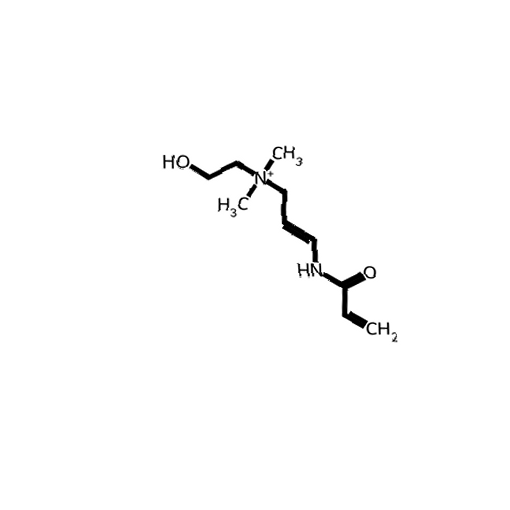 C=CC(=O)NC=CC[N+](C)(C)CCO